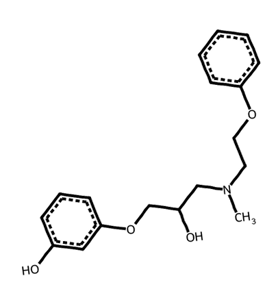 CN(CCOc1ccccc1)CC(O)COc1cccc(O)c1